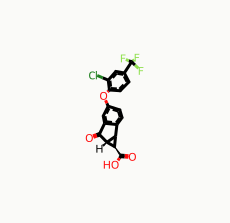 O=C(O)[C@@H]1C2c3ccc(Oc4ccc(C(F)(F)F)cc4Cl)cc3C(=O)[C@H]21